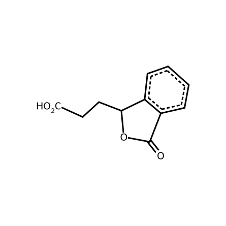 O=C(O)CCC1OC(=O)c2ccccc21